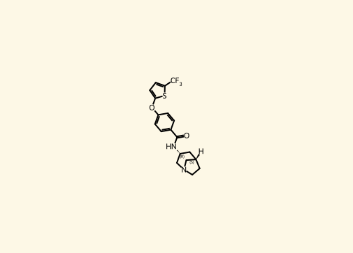 O=C(N[C@@H]1C[C@@H]2CCN(C2)C1)c1ccc(Oc2ccc(C(F)(F)F)s2)cc1